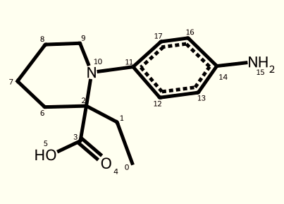 CCC1(C(=O)O)CCCCN1c1ccc(N)cc1